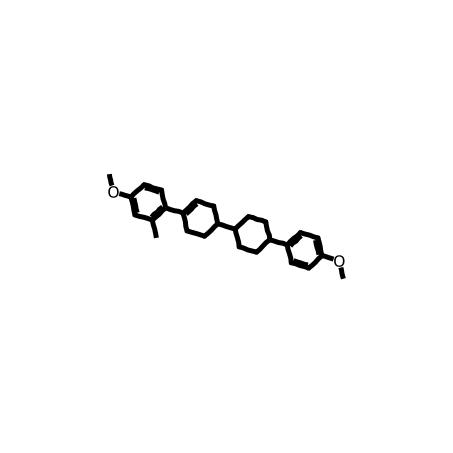 COc1ccc(C2CCC(C3CC=C(c4ccc(OC)cc4C)CC3)CC2)cc1